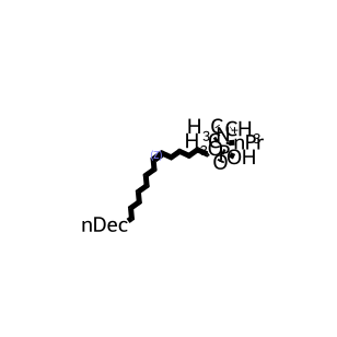 CCCCCCCCCCCCCCCCC/C=C\CCCCCOP(=O)(O)C(CCC)[N+](C)(C)C